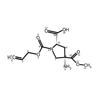 C=CCOC(=O)N1C[C@](N)(C(=O)OC)C[C@H]1C(=O)O